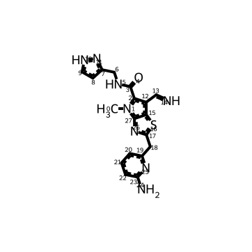 Cn1c(C(=O)NCc2cc[nH]n2)c(C=N)c2sc(Cc3cccc(N)n3)nc21